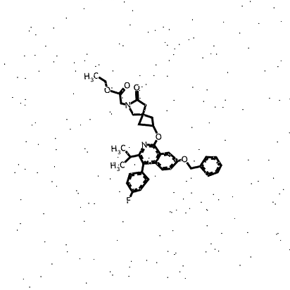 CCOC(=O)CN1CC2(CC1=O)CC(Oc1nc(C(C)C)c(-c3ccc(F)cc3)c3ccc(OCc4ccccc4)cc13)C2